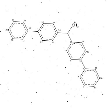 CC(c1ccc(-c2ccccc2)cc1)c1ccc(-c2ccccc2)cc1